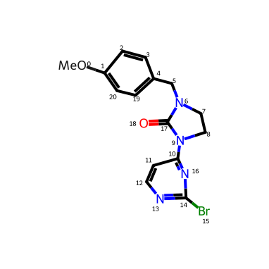 COc1ccc(CN2CCN(c3ccnc(Br)n3)C2=O)cc1